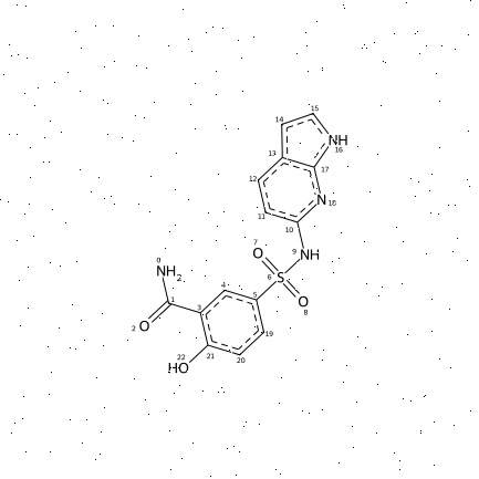 NC(=O)c1cc(S(=O)(=O)Nc2ccc3cc[nH]c3n2)ccc1O